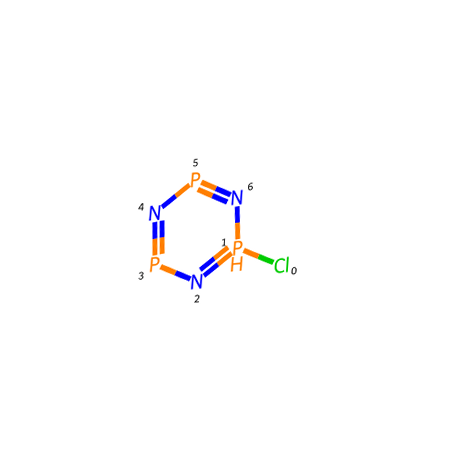 Cl[PH]1=NP=NP=N1